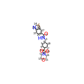 O=C(NCc1ccc(S(=O)(=O)N2CCOCC2)cc1)c1ccc2ncsc2c1